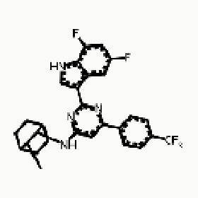 CC1C2CCC(CC2)C1Nc1cc(-c2ccc(C(F)(F)F)cc2)nc(-c2c[nH]c3c(F)cc(F)cc23)n1